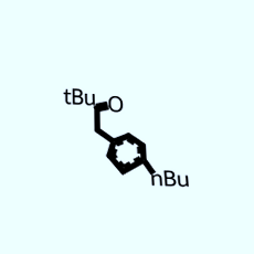 CCCCc1ccc(CC(=O)C(C)(C)C)cc1